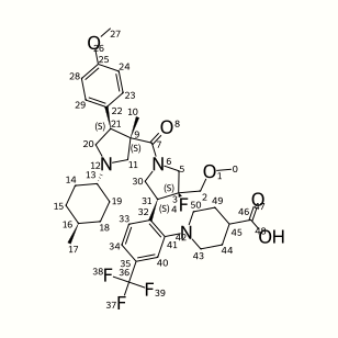 COC[C@@]1(F)CN(C(=O)[C@]2(C)CN([C@H]3CC[C@H](C)CC3)C[C@H]2c2ccc(OC)cc2)C[C@@H]1c1ccc(C(F)(F)F)cc1N1CCC(C(=O)O)CC1